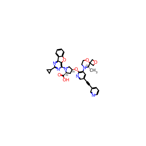 C[C@@H]1N(c2cc(C#Cc3cccnc3)cnc2O[C@H]2C[C@@H](C(=O)O)N(c3nc(C4CC4)nc4c3oc3ccccc34)C2)CCOC12COC2